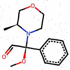 CO[C@](C=O)(c1ccccc1)N1CCOC[C@@H]1C